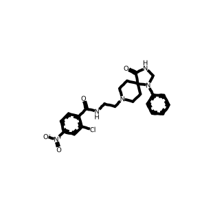 O=C(NCCN1CCC2(CC1)C(=O)NCN2c1ccccc1)c1ccc([N+](=O)[O-])cc1Cl